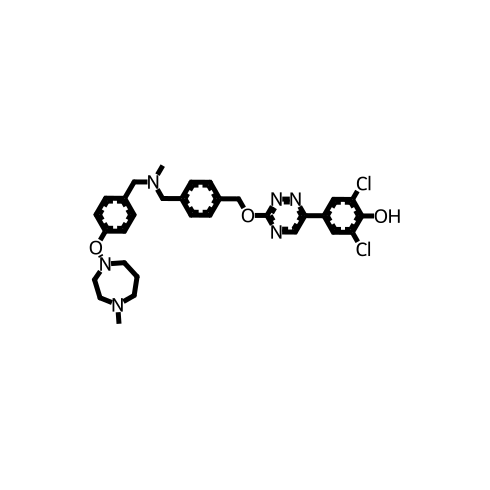 CN1CCCN(Oc2ccc(CN(C)Cc3ccc(COc4ncc(-c5cc(Cl)c(O)c(Cl)c5)nn4)cc3)cc2)CC1